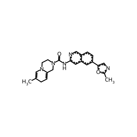 CC1=CN2CCN(C(=O)Nc3cc4cc(-c5cnc(C)o5)ccc4cn3)CC2=CC1